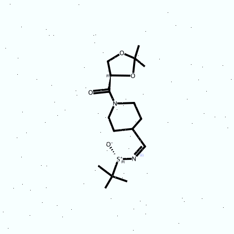 CC1(C)OC[C@H](C(=O)N2CCC(/C=N\[S@@+]([O-])C(C)(C)C)CC2)O1